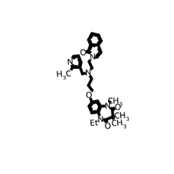 CCN1C(=O)C(C)(C)C(=O)N(C)c2cc(OCCCN(CCn3ccc4ccccc4c3=O)Cc3cccnc3C)ccc21